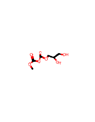 COC(=O)OC(=O)OCC(O)CO